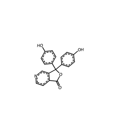 O=C1OC(c2ccc(O)cc2)(c2ccc(O)cc2)c2cnccc21